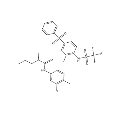 CCCC(C)C(=O)Nc1ccc(C)c(Cl)c1.Cc1cc(S(=O)(=O)c2ccccc2)ccc1NS(=O)(=O)C(F)(F)F